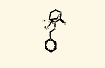 CCC1(C)CCN2CC[C@@H]1N(OCc1ccccc1)C2=O